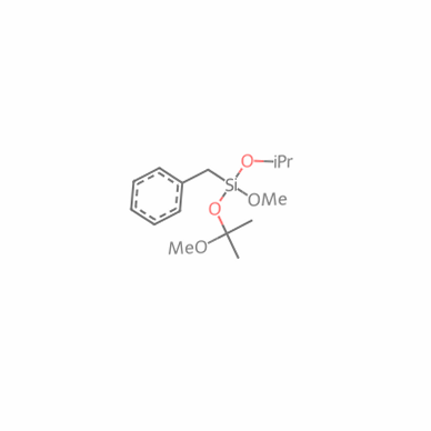 COC(C)(C)O[Si](Cc1ccccc1)(OC)OC(C)C